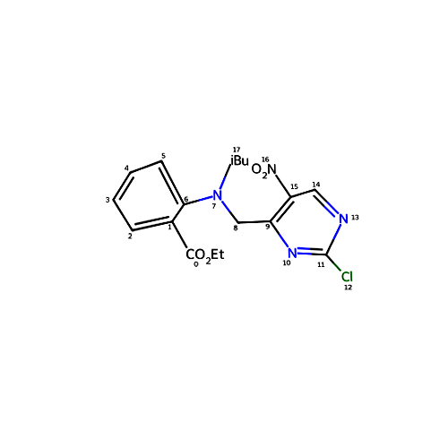 CCOC(=O)c1ccccc1N(Cc1nc(Cl)ncc1[N+](=O)[O-])C(C)CC